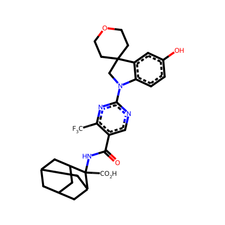 O=C(NC1(C(=O)O)C2CC3CC(C2)CC1C3)c1cnc(N2CC3(CCOCC3)c3cc(O)ccc32)nc1C(F)(F)F